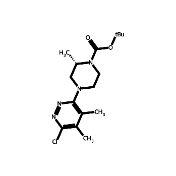 Cc1c(Cl)nnc(N2CCN(C(=O)OC(C)(C)C)[C@@H](C)C2)c1C